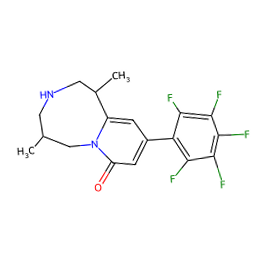 CC1CNCC(C)c2cc(-c3c(F)c(F)c(F)c(F)c3F)cc(=O)n2C1